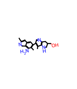 Cc1cc2cc(-c3cnc4c(c3C)NCC(CO)C4)c(C)c(N)c2cn1